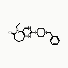 CCN1C(=O)CCCc2nc(N3CCN(Cc4ccccc4)CC3)ncc21